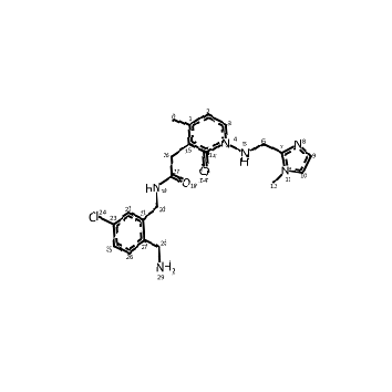 Cc1ccn(NCc2nccn2C)c(=O)c1CC(=O)NCc1cc(Cl)ccc1CN